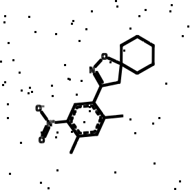 Cc1cc(C)c([N+](=O)[O-])cc1C1=NOC2(CCCCC2)C1